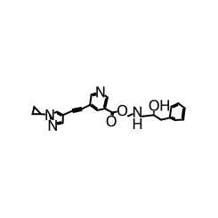 O=C(OCNC[C@@H](O)Cc1ccccc1)c1cncc(C#Cc2cnn(C3CC3)c2)c1